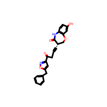 O=C(CC#C[C@H]1COc2cc(O)ccc2NC1=O)c1cc(Cc2ccccc2)on1